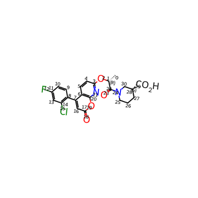 C[C@@H](Oc1ccc2c(-c3ccc(F)cc3Cl)cc(=O)oc2n1)C(=O)N1CCC[C@H](C(=O)O)C1